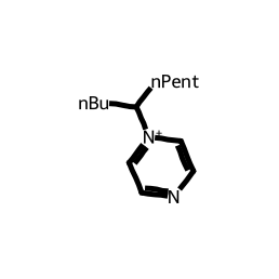 CCCCCC(CCCC)[n+]1ccncc1